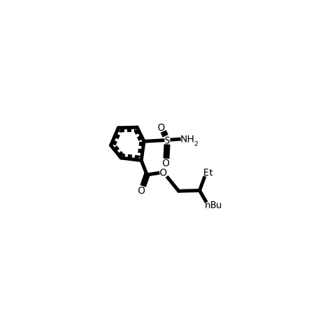 CCCCC(CC)COC(=O)c1ccccc1S(N)(=O)=O